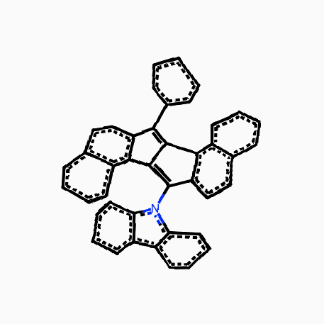 c1ccc(C2=C3C(=C(n4c5ccccc5c5ccccc54)c4ccc5ccccc5c43)c3c2ccc2ccccc32)cc1